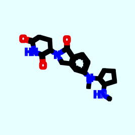 CNC1CCCC1N(C)c1ccc2c(c1)CN(C1CCC(=O)NC1=O)C2=O